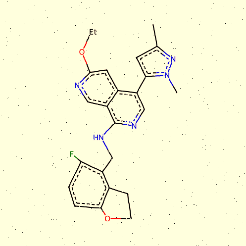 CCOc1cc2c(-c3cc(C)nn3C)cnc(NCc3c(F)ccc4c3CCO4)c2cn1